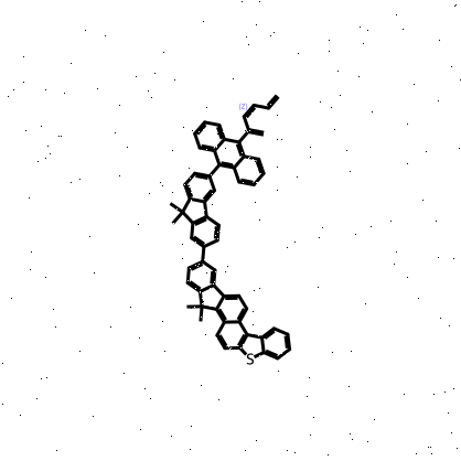 C=C/C=C\C(=C)c1c2ccccc2c(-c2ccc3c(c2)-c2ccc(-c4ccc5c(c4)-c4ccc6c(ccc7sc8ccccc8c76)c4C5(C)C)cc2C3(C)C)c2ccccc12